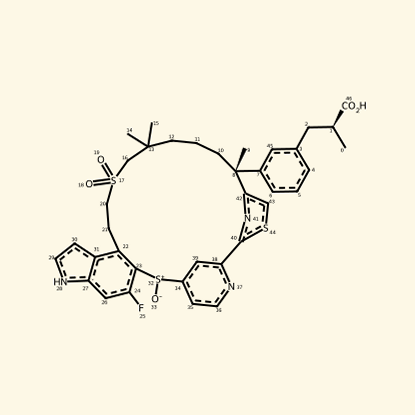 C[C@@H](Cc1cccc([C@@]2(C)CCCC(C)(C)CS(=O)(=O)CCc3c(c(F)cc4[nH]ccc34)[S+]([O-])c3ccnc(c3)-c3nc2cs3)c1)C(=O)O